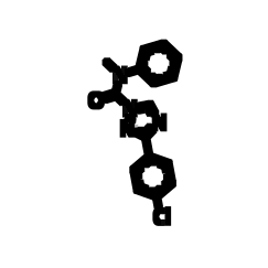 CN(C(=O)n1cnc(-c2ccc(Cl)cc2)n1)c1ccccc1